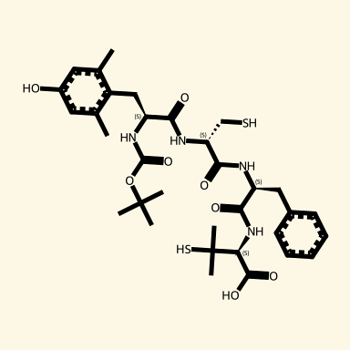 Cc1cc(O)cc(C)c1C[C@H](NC(=O)OC(C)(C)C)C(=O)N[C@H](CS)C(=O)N[C@@H](Cc1ccccc1)C(=O)N[C@@H](C(=O)O)C(C)(C)S